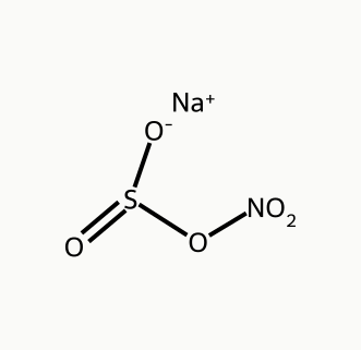 O=[N+]([O-])OS(=O)[O-].[Na+]